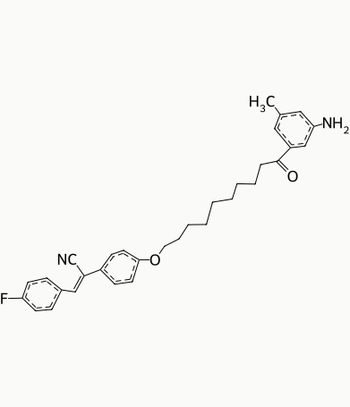 Cc1cc(N)cc(C(=O)CCCCCCCCCOc2ccc(/C(C#N)=C/c3ccc(F)cc3)cc2)c1